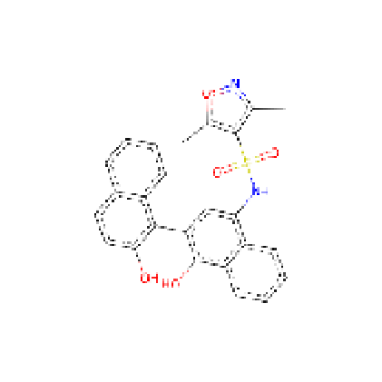 Cc1noc(C)c1S(=O)(=O)Nc1cc(-c2c(O)ccc3ccccc23)c(O)c2ccccc12